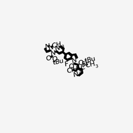 Cn1nccc1N(C(=O)OC(C)(C)C)c1cc(-c2cc(F)c3c(ccn3C(=O)C(O[Si](C)(C)C(C)(C)C)c3cccnc3Cl)c2)ccn1